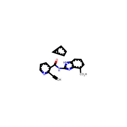 C#Cc1ncccc1C(=O)Nc1nc2c(C(=O)O)cccc2[nH]1.c1cc2cc-2c1